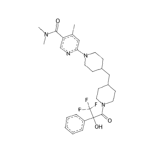 Cc1cc(N2CCC(CC3CCN(C(=O)C(O)(c4ccccc4)C(F)(F)F)CC3)CC2)ncc1C(=O)N(C)C